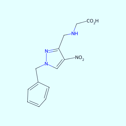 O=C(O)CNCc1nn(Cc2ccccc2)cc1[N+](=O)[O-]